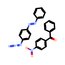 O=C(c1ccccc1)c1ccc([N+](=O)[O-])cc1.[N-]=[N+]=Nc1ccc(N=Nc2ccccc2)cc1